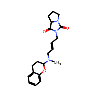 CN(CC=CCN1C(=O)C2CCCN2C1=O)C1CCc2ccccc2O1